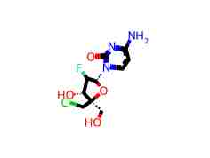 Nc1ccn([C@@H]2O[C@@](CO)(CCl)[C@H](O)C2F)c(=O)n1